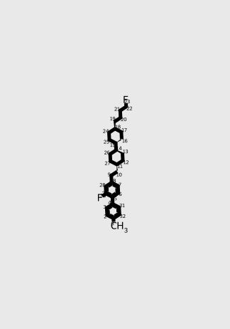 Cc1ccc(-c2ccc(CC[C@H]3CC[C@H]([C@H]4CC[C@H](CCCCF)CC4)CC3)cc2F)cc1